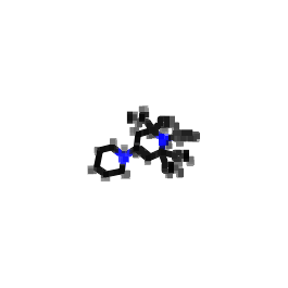 CON1C(C)(C)C=C(N2CCCCC2)CC1(C)C